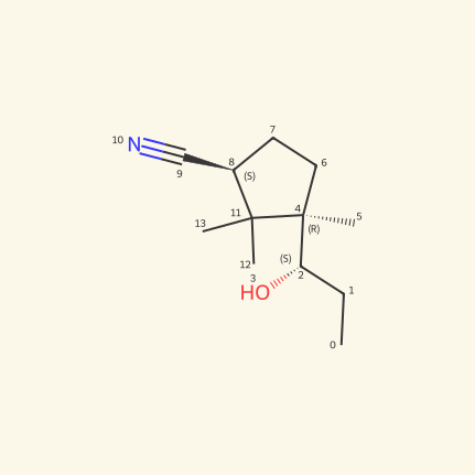 CC[C@H](O)[C@]1(C)CC[C@H](C#N)C1(C)C